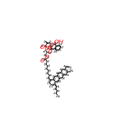 C=C(C)C(=O)OCC(COC(=O)CCCCCCCCC1CCC(CCCCC)C(CCCCCCC)C1CCCCCCCC)OC(=O)c1ccccc1C(=O)O